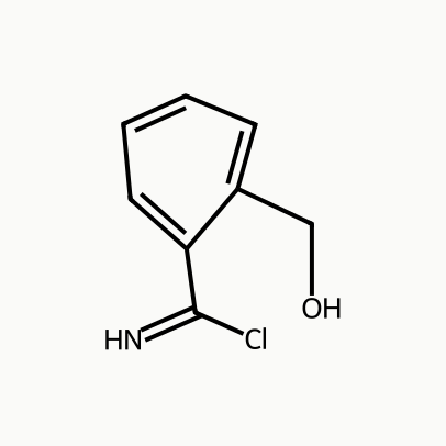 N=C(Cl)c1ccccc1CO